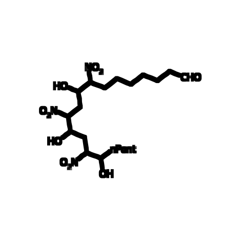 CCCCCC(O)C(CC(O)C(CC(O)C(CCCCCCC=O)[N+](=O)[O-])[N+](=O)[O-])[N+](=O)[O-]